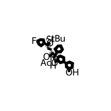 CC(=O)Oc1cc(-c2cccc(O)c2)ccc1[C@]1(c2ccccc2)NC(=O)[C@@H]1CC[C@H](O[Si](C)(C)C(C)(C)C)c1ccc(F)cc1